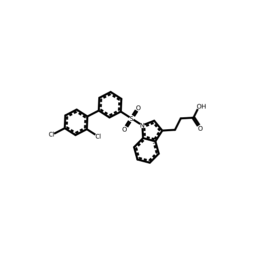 O=C(O)CCc1cn(S(=O)(=O)c2cccc(-c3ccc(Cl)cc3Cl)c2)c2ccccc12